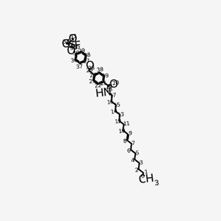 CCCCCCCCC=CCCCCCCCCNC(=O)c1ccc(COc2ccc(OS(=O)(=O)F)cc2)cc1